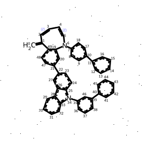 C=C1/C=C\C=C/N(c2ccc(-c3ccccc3)cc2)c2cc(-c3ccc4c(c3)c3ccccc3n4-c3cccc(-c4ccccc4)c3)ccc21